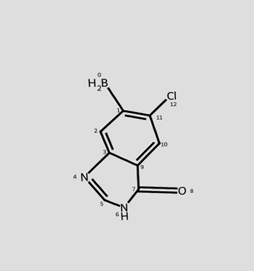 Bc1cc2nc[nH]c(=O)c2cc1Cl